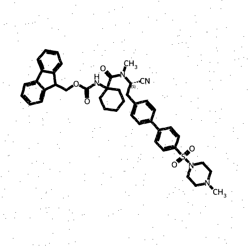 CN1CCN(S(=O)(=O)c2ccc(-c3ccc(C[C@@H](C#N)N(C)C(=O)C4(NC(=O)OCC5c6ccccc6-c6ccccc65)CCCCC4)cc3)cc2)CC1